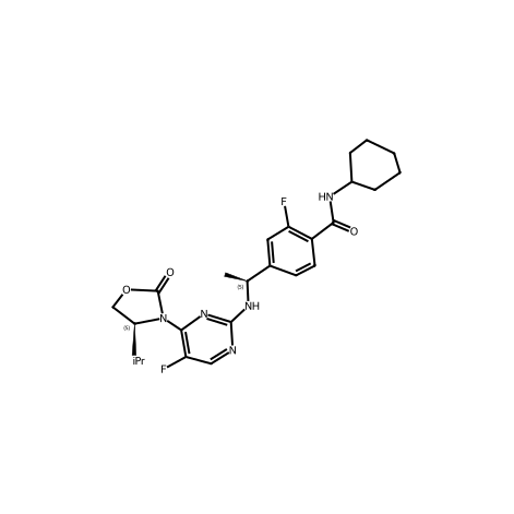 CC(C)[C@H]1COC(=O)N1c1nc(N[C@@H](C)c2ccc(C(=O)NC3CCCCC3)c(F)c2)ncc1F